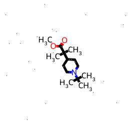 COC(=O)C(C)(C)C1CCN(C(C)(C)C)CC1